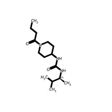 CCCC(=O)N1CCC(NC(=O)N[C@@H](C)C(C)C)CC1